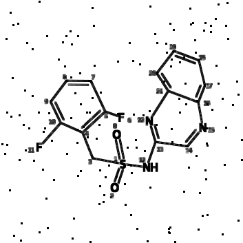 O=S(=O)(Cc1c(F)cccc1F)Nc1cnc2ccccc2n1